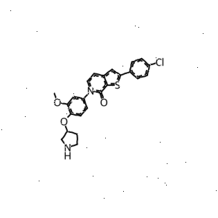 COc1cc(-n2ccc3cc(-c4ccc(Cl)cc4)sc3c2=O)ccc1OC1CCNC1